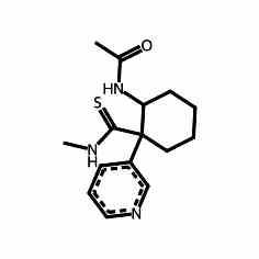 CNC(=S)C1(c2cccnc2)CCCCC1NC(C)=O